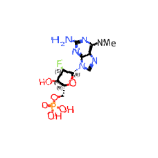 CNc1nc(N)nc2c1ncn2[C@@H]1O[C@H](COP(=O)(O)O)[C@@H](O)[C@@H]1F